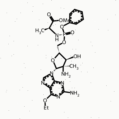 CCOc1nc(N)nc2c1ncn2[C@@H]1O[C@H](CO[P@@](=O)(N[C@@H](C)C(=O)OC)Oc2ccccc2)[C@@H](O)[C@@]1(C)N